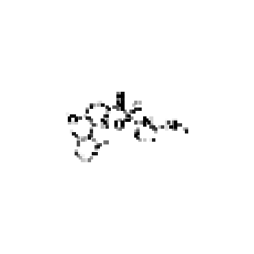 COc1ccc(NS(=O)(=O)c2cccc(N)n2)nc1-c1c(C)cccc1C